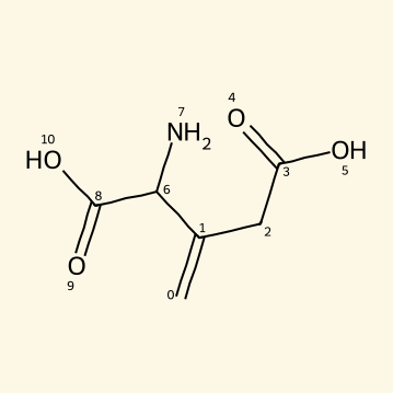 C=C(CC(=O)O)C(N)C(=O)O